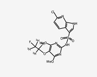 [2H]C([2H])(F)C([2H])([2H])Oc1c(OC)nc(NS(=O)(=O)c2c[nH]c3nc(Cl)ccc23)nc1OC